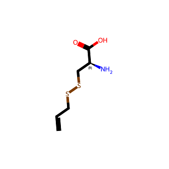 C=CCSSC[C@H](N)C(=O)O